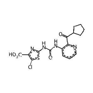 O=C(Nc1nc(C(=O)O)c(Cl)s1)Nc1cccnc1C(=O)C1CCCC1